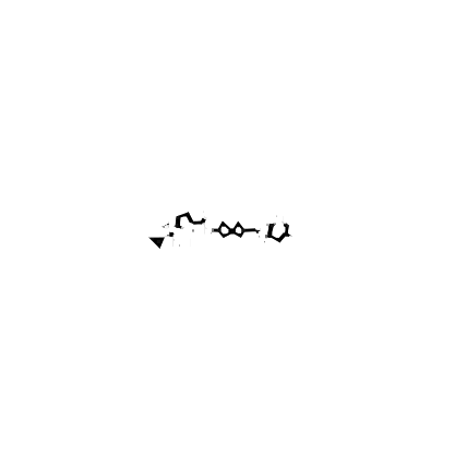 N=[S@](=O)(c1ccc(C(=O)NC2CC3(C2)CC(c2nc4cc(Cl)cnc4o2)C3)o1)C1CC1